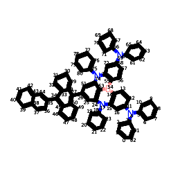 c1ccc(N(c2ccccc2)c2ccc3c(c2)N(c2ccccc2)c2cc(-c4c5ccccc5c(-c5ccc6ccccc6c5)c5ccccc45)cc4c2B3c2ccc(N(c3ccccc3)c3ccccc3)cc2N4c2ccccc2)cc1